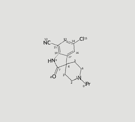 CC(C)N1CCC2(CC1)C(=O)Nc1c(C#N)cc(Cl)cc12